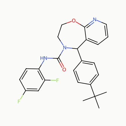 CC(C)(C)c1ccc(C2c3cccnc3OCCN2C(=O)Nc2ccc(F)cc2F)cc1